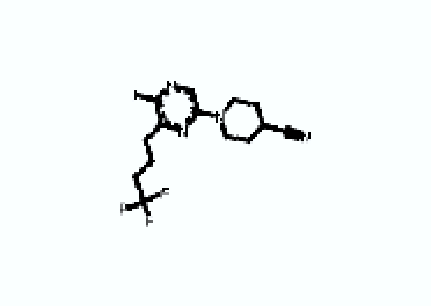 N#CC1CCN(c2cnc(I)c(CCCC(F)(F)F)n2)CC1